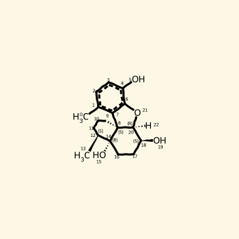 Cc1ccc(O)c2c1[C@]13CCC[C@H](C)[C@]1(O)CC[C@H](O)[C@@H]3O2